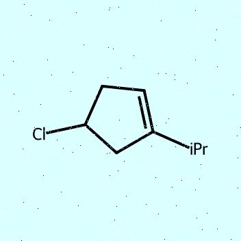 CC(C)C1=CCC(Cl)C1